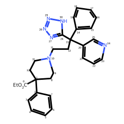 CCOC(=O)C1(c2ccccc2)CCN(CCC(c2ccccc2)(c2cccnc2)c2nnn[nH]2)CC1